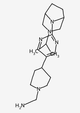 CC(C)N1CC2CCC(C1)N2c1ncc(C2CCN(CN)CC2)cn1